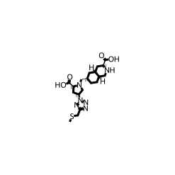 CSCc1nnn([C@H]2C[C@@H](C(=O)O)N(C[C@H]3CC[C@H]4CN[C@H](C(=O)O)C[C@H]4C3)C2)n1